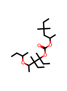 CCC(C)OC(C)C(C)(CC)C(C)(CC)OC(=O)OC(C)CC(C)(C)CC